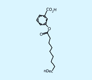 CCCCCCCCCCCCCCCCCC(=O)Oc1cccc(C(=O)O)c1